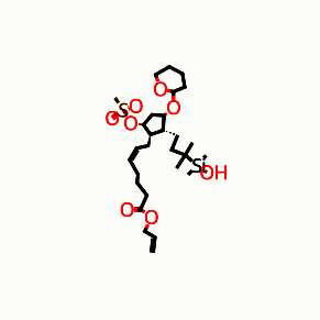 C=CCOC(=O)CCC/C=C\C[C@@H]1[C@@H](CCC(C)(C)[Si](C)(C)O)[C@H](OC2CCCCO2)C[C@H]1OS(C)(=O)=O